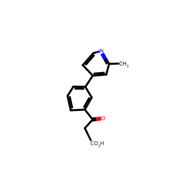 Cc1cc(-c2cccc(C(=O)CC(=O)O)c2)ccn1